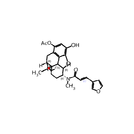 CC(=O)Oc1cc(O)c2c3c1C[C@@H]1[C@@H]4CC[C@@H](N(C)C(=O)/C=C/c5ccoc5)[C@H](O2)[C@]34CCN1C